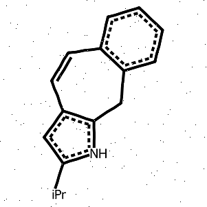 CC(C)c1cc2c([nH]1)Cc1ccccc1C=C2